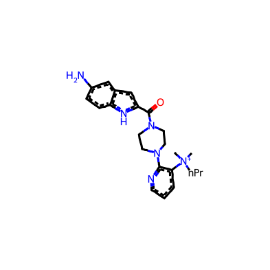 CCC[N+](C)(C)c1cccnc1N1CCN(C(=O)c2cc3cc(N)ccc3[nH]2)CC1